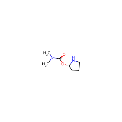 CN(C)C(=O)O[C@H]1CCCN1